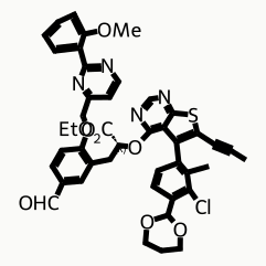 CC#Cc1sc2ncnc(O[C@H](Cc3cc(C=O)ccc3OCc3ccnc(-c4ccccc4OC)n3)C(=O)OCC)c2c1-c1ccc(C2OCCCO2)c(Cl)c1C